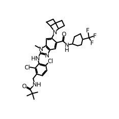 Cn1c(Nc2c(Cl)ccc(CNC(=O)C(C)(C)C)c2Cl)nc2cc(C(=O)NC3CCC(C(F)(F)F)CC3)c(N3C4CCC45CCC35)cc21